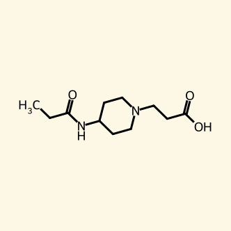 CCC(=O)NC1CCN(CCC(=O)O)CC1